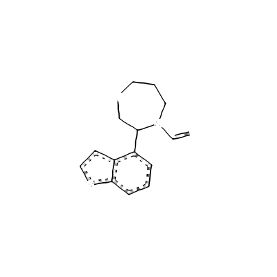 O=CN1CCCOCC1c1cccc2[nH]ccc12